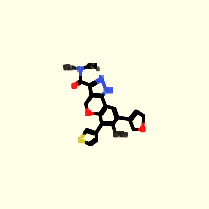 COc1c(C2=CCOC2)cc2c(c1-c1ccsc1)OCc1c(C(=O)N(C)C(C)(C)C)n[nH]c1-2